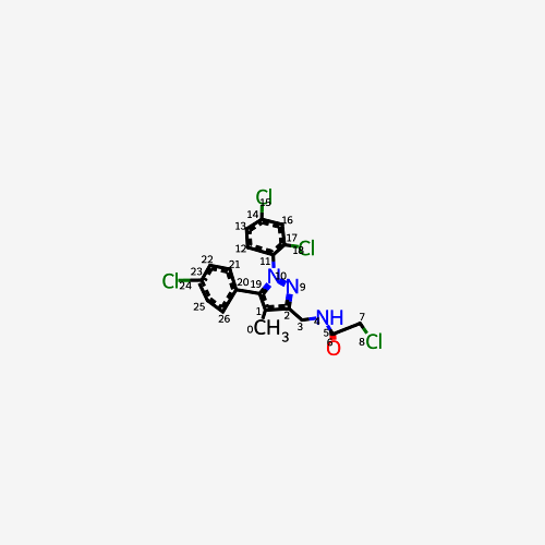 Cc1c(CNC(=O)CCl)nn(-c2ccc(Cl)cc2Cl)c1-c1ccc(Cl)cc1